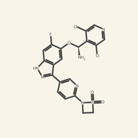 N[C@@H](Oc1cc2c(-c3ccc(N4CCS4(=O)=O)nc3)n[nH]c2cc1F)c1c(Cl)cncc1Cl